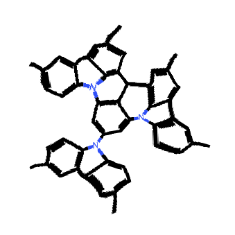 Cc1ccc2c(c1)c1cc(C)ccc1n2-c1cc2c3c(c1)-n1c4ccc(C)cc4c4cc(C)cc(c41)C3c1cc(C)cc3c4cc(C)ccc4n-2c13